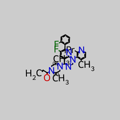 C=CC(=O)N1C[C@H](C)N(C2=NCN(c3c(C)ccnc3C(C)C)c3nc(-c4ccccc4F)c(F)cc32)C[C@H]1C